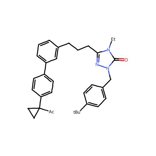 CCn1c(CCCc2cccc(-c3ccc(C4(C(C)=O)CC4)cc3)c2)nn(Cc2ccc(C(C)(C)C)cc2)c1=O